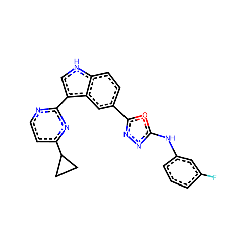 Fc1cccc(Nc2nnc(-c3ccc4[nH]cc(-c5nccc(C6CC6)n5)c4c3)o2)c1